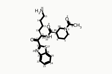 CC(=O)N1CCC[C@@H](C(=O)N[C@H](CCCCN)C(=O)c2nc3ccccc3s2)C1